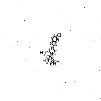 CC1CN(c2nc3nc(Cl)ccc3o2)CCN1C(=O)OC(C)(C)C